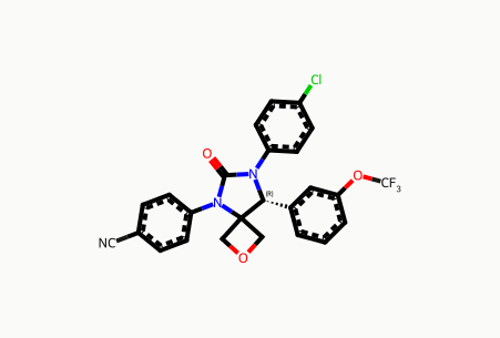 N#Cc1ccc(N2C(=O)N(c3ccc(Cl)cc3)[C@H](c3cccc(OC(F)(F)F)c3)C23COC3)cc1